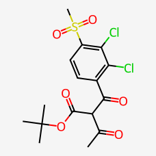 CC(=O)C(C(=O)OC(C)(C)C)C(=O)c1ccc(S(C)(=O)=O)c(Cl)c1Cl